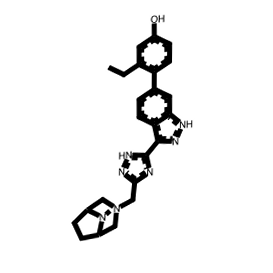 CCc1cc(O)ccc1-c1ccc2c(-c3nc(CN4CC5CCC(C4)N5C)n[nH]3)n[nH]c2c1